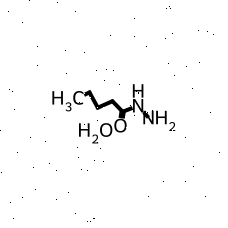 CCCCC(=O)NN.O